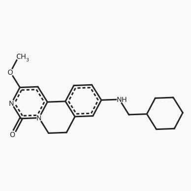 COc1cc2n(c(=O)n1)CCc1cc(NCC3CCCCC3)ccc1-2